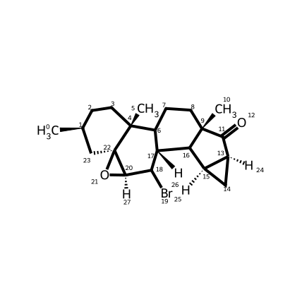 C[C@H]1CC[C@]2(C)C3CC[C@]4(C)C(=O)[C@H]5C[C@H]5C4[C@@H]3C(Br)[C@H]3O[C@]32C1